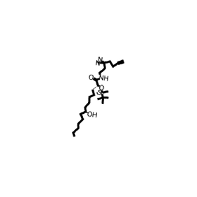 C#CCCC1(CCNC(=O)[C@@H](CCCCC[C@H](O)CCCCCC)O[Si](C)(C)C(C)(C)C)N=N1